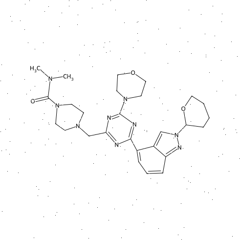 CN(C)C(=O)N1CCN(Cc2nc(-c3cccc4nn(C5CCCCO5)cc34)nc(N3CCOCC3)n2)CC1